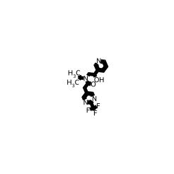 CC(C)N(CC(O)c1cccnc1)C(=O)Cc1cnc(C(F)(F)F)nc1